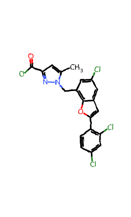 Cc1cc(C(=O)Cl)nn1Cc1cc(Cl)cc2cc(-c3ccc(Cl)cc3Cl)oc12